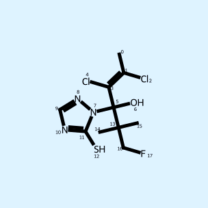 CC(Cl)=C(Cl)C(O)(n1ncnc1S)C(C)(C)CF